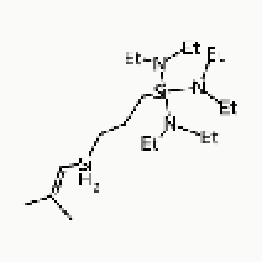 CCN(CC)[Si](CCC[SiH2]C=C(C)C)(N(CC)CC)N(CC)CC